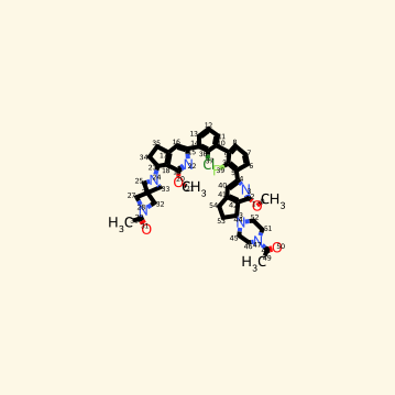 COc1nc(-c2cccc(-c3cccc(-c4cc5c(c(OC)n4)C(N4CC6(CN(C(C)=O)C6)C4)CC5)c3Cl)c2F)cc2c1C(N1CCN(C(C)=O)CC1)CC2